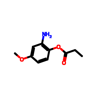 CCC(=O)Oc1ccc(OC)cc1N